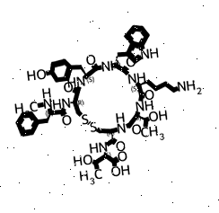 CN[C@H](Cc1ccccc1)C(=O)N[C@H]1CSSC[C@@H](C(=O)N[C@H](C(=O)O)C(C)O)NC(=O)[C@H](C(C)O)NC(=O)[C@H](CCCCN)NC(=O)[C@@H](Cc2c[nH]c3ccccc23)NC(=O)[C@H](CC2=CCC(O)C=C2)NC1=O